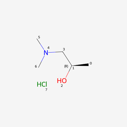 C[C@@H](O)CN(C)C.Cl